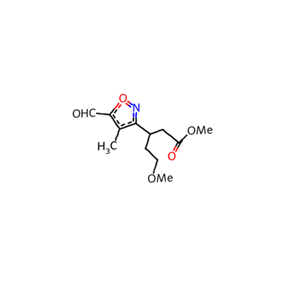 COCCC(CC(=O)OC)c1noc(C=O)c1C